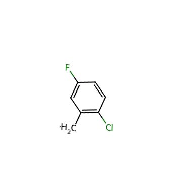 [CH2]c1cc(F)ccc1Cl